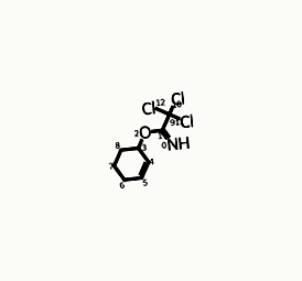 N=C(OC1C=CCCC1)C(Cl)(Cl)Cl